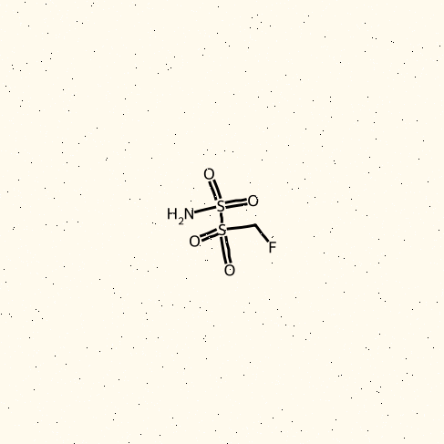 NS(=O)(=O)S(=O)(=O)CF